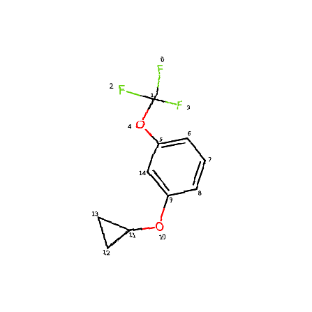 FC(F)(F)Oc1c[c]cc(OC2CC2)c1